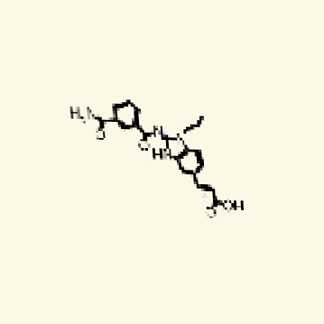 CCCn1/c(=N/C(=O)c2cccc(C(N)=O)c2)[nH]c2cc(/C=C/C(=O)O)ccc21